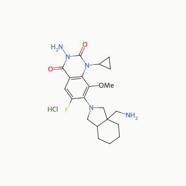 COc1c(N2CC3CCCCC3(CN)C2)c(F)cc2c(=O)n(N)c(=O)n(C3CC3)c12.Cl